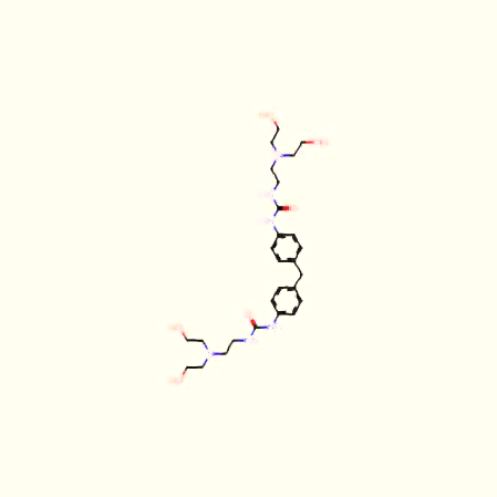 O=C(NCCN(CCO)CCO)Nc1ccc(Cc2ccc(NC(=O)NCCN(CCO)CCO)cc2)cc1